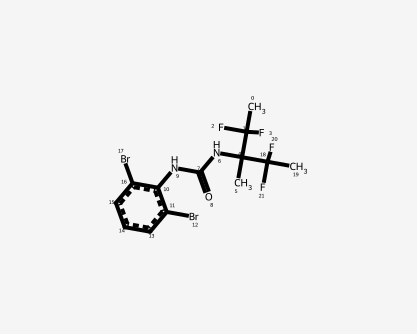 CC(F)(F)C(C)(NC(=O)Nc1c(Br)cccc1Br)C(C)(F)F